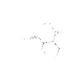 C=CC(C)C(CO)NC(=O)O